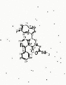 NC(=O)CN(CCC1=CN=C2CC=C(F)C=C12)C(=O)c1nccnc1-c1ccccc1